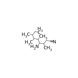 CCC(C)C(C)C(C)C(N)C(C)CC#N